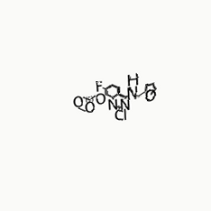 Fc1ccc2c(NCc3ccco3)nc(Cl)nc2c1OC[C@@H]1COCCO1